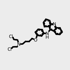 ClCCN(CCCl)CCCCOc1cccc(Nc2c3ccccc3nc3ccccc23)c1